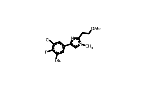 COCCc1nc(-c2cc(Cl)c(F)c(C(C)(C)C)c2)cn1C